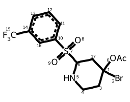 CC(=O)OC1(Br)CCNC(S(=O)(=O)c2cccc(C(F)(F)F)c2)C1